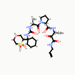 C=CCNC(=O)C(=O)[C@H](CCCC)NC(=O)[C@@H]1CCCN1C(=O)[C@@H](NC(=O)NC1(C2COCCS2(=O)=O)CCCCC1)C(C)(C)C